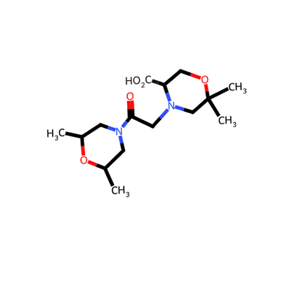 CC1CN(C(=O)CN2CC(C)(C)OCC2C(=O)O)CC(C)O1